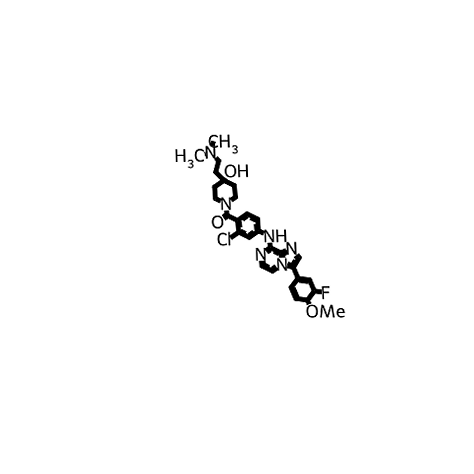 COC1C=CC(c2cnc3c(Nc4ccc(C(=O)N5CCC(O)(CCN(C)C)CC5)c(Cl)c4)nccn23)=CC1F